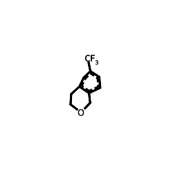 FC(F)(F)c1ccc2c(c1)CCOC2